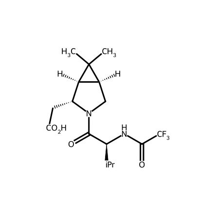 CC(C)[C@H](NC(=O)C(F)(F)F)C(=O)N1C[C@H]2[C@@H]([C@H]1CC(=O)O)C2(C)C